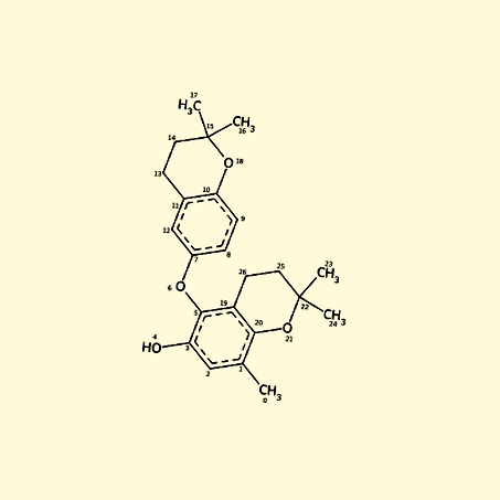 Cc1cc(O)c(Oc2ccc3c(c2)CCC(C)(C)O3)c2c1OC(C)(C)CC2